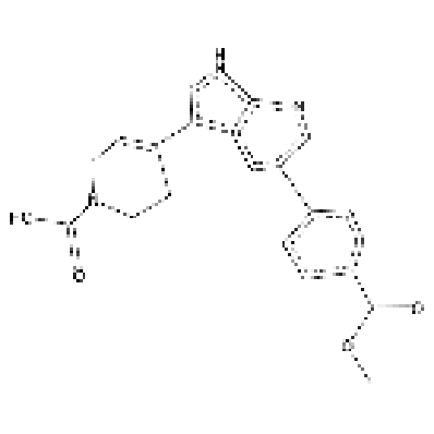 COC(=O)c1ccc(-c2cnc3[nH]cc(C4=CCN(C(=O)O)CC4)c3c2)cc1